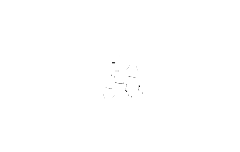 CN(C(=NC#N)c1ccccc1)[C@H]1c2cc(C#N)ccc2OC(C)(C)[C@@H]1O